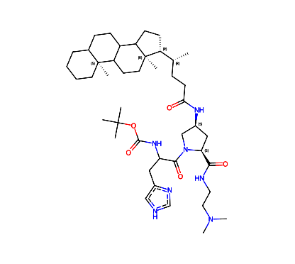 C[C@H](CCC(=O)N[C@H]1C[C@@H](C(=O)NCCN(C)C)N(C(=O)C(Cc2c[nH]cn2)NC(=O)OC(C)(C)C)C1)[C@H]1CCC2C3CCC4CCCC[C@]4(C)C3CC[C@@]21C